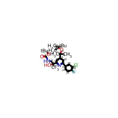 CC(C)(C)OC(=O)NCC(O)(c1cc(C(C)(C)O[Si](C)(C)C(C)(C)C)cc(-c2ccc(F)c(Cl)c2)n1)C(F)(F)F